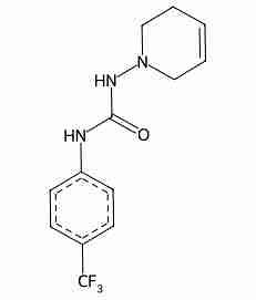 O=C(Nc1ccc(C(F)(F)F)cc1)NN1CC=CCC1